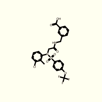 Cc1c(Cl)cccc1N(CC(=O)NCc1cccc(C(=O)O)c1)S(=O)(=O)c1ccc(OC(F)(F)F)cc1